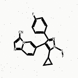 N#Cc1cnc2ccc(-c3c(-c4ccc(F)cc4)nn(SF)c3C3CC3)cn12